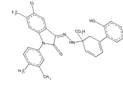 Cc1ccc(N2C(=O)/C(=N\NC3(C(=O)O)C=CC=C(c4ccccc4O)C3)c3cc(Cl)c(C(F)(F)F)cc32)cc1C